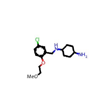 COCCOc1ccc(Cl)cc1CNC1CCC(N)CC1